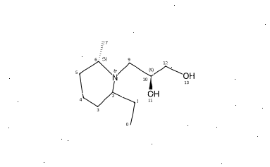 CCC1CCC[C@H](C)N1C[C@H](O)CO